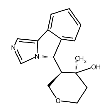 C[C@]1(O)CCOC[C@H]1[C@H]1c2ccccc2-c2cncn21